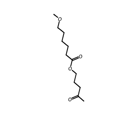 COCCCCCC(=O)OCCCC(C)=O